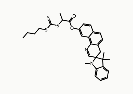 CCCCSC(=S)SC(C)C(=O)Oc1ccc2ccc3c(c2c1)N=CC1(C3)N(C)c2ccccc2C1(C)C